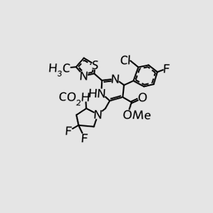 COC(=O)C1=C(CN2CC(F)(F)CC2C(=O)O)NC(c2nc(C)cs2)=NC1c1ccc(F)cc1Cl